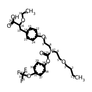 CCCCOCCN(CCOc1ccc(CC(OCC)C(=O)O)cc1)C(=O)Oc1ccc(OC(F)(F)F)cc1